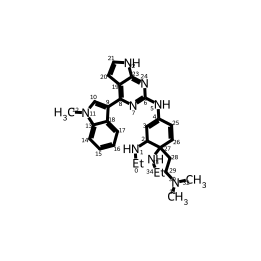 CCNC1C=C(Nc2nc(-c3cn(C)c4ccccc34)c3cc[nH]c3n2)C=CC1(CCN(C)C)NCC